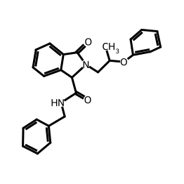 CC(CN1C(=O)c2ccccc2C1C(=O)NCc1ccccc1)Oc1ccccc1